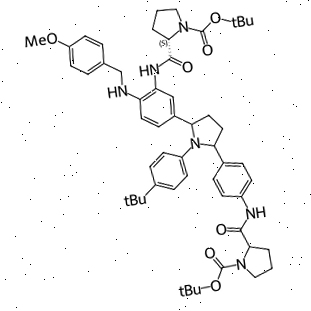 COc1ccc(CNc2ccc(C3CCC(c4ccc(NC(=O)C5CCCN5C(=O)OC(C)(C)C)cc4)N3c3ccc(C(C)(C)C)cc3)cc2NC(=O)[C@@H]2CCCN2C(=O)OC(C)(C)C)cc1